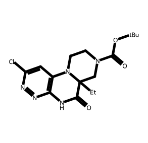 CCC12CN(C(=O)OC(C)(C)C)CCN1c1cc(Cl)nnc1NC2=O